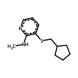 CNc1ncccc1SCC1CCCC1